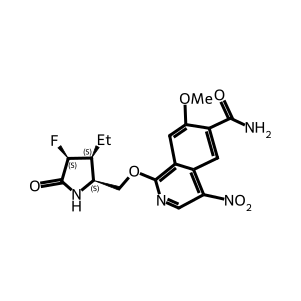 CC[C@@H]1[C@H](F)C(=O)N[C@@H]1COc1ncc([N+](=O)[O-])c2cc(C(N)=O)c(OC)cc12